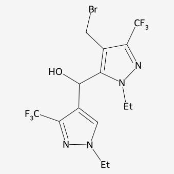 CCn1cc(C(O)c2c(CBr)c(C(F)(F)F)nn2CC)c(C(F)(F)F)n1